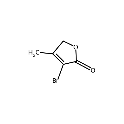 CC1=C(Br)C(=O)OC1